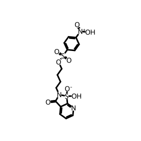 O=C1c2cccnc2S([O-])(O)N1CCCCOS(=O)(=O)c1ccc([N+](=O)O)cc1